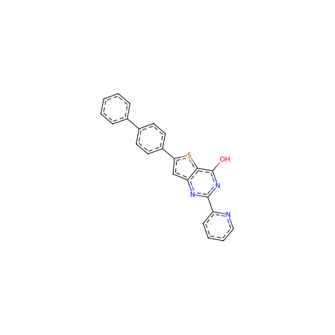 Oc1nc(-c2ccccn2)nc2cc(-c3ccc(-c4ccccc4)cc3)sc12